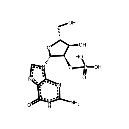 Nc1nc2c(ncn2[C@@H]2O[C@H](CO)[C@@H](O)[C@H]2OP(=O)(O)O)c(=O)[nH]1